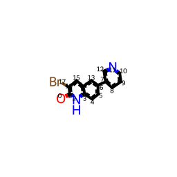 O=c1[nH]c2ccc(-c3cccnc3)cc2cc1Br